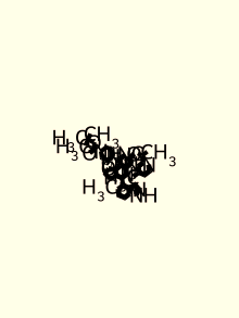 Cc1ccnc(C(C)C)c1-n1c(=O)nc(N2CCN(C(=O)OC(C)(C)C)C[C@@H]2C)c2c3c(c(-c4c(C)ccc5[nH]ncc45)nc21)CCO3